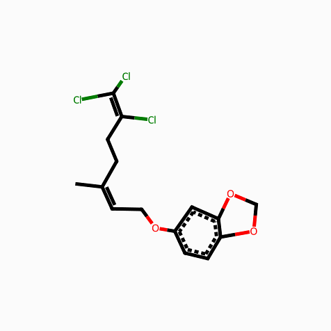 CC(=CCOc1ccc2c(c1)OCO2)CCC(Cl)=C(Cl)Cl